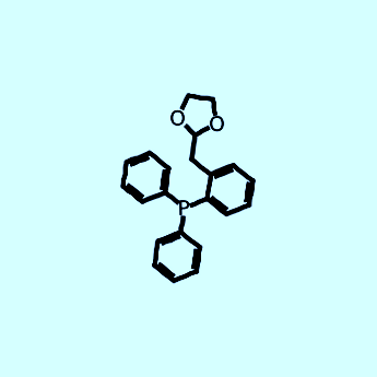 c1ccc(P(c2ccccc2)c2ccccc2CC2OCCO2)cc1